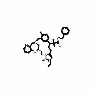 CC[C@@H]1CN(Cc2cc(C(CCC3=CN(CC)N(C)N3)C(C)(C)C(=O)OCc3ccccc3)ccc2C)Cc2ncccc2O1